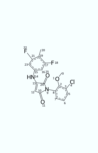 COc1c(Cl)cccc1N1C(=O)C=C(Nc2cc(F)c(C)c(F)c2)C1=O